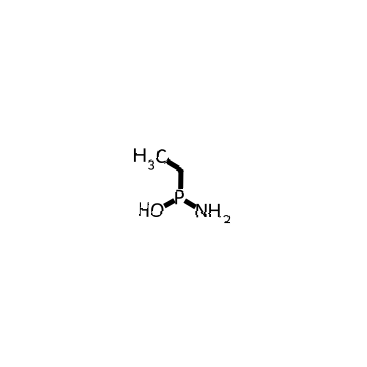 CCP(N)O